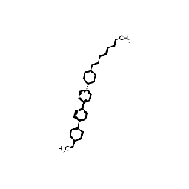 CCCCCCCC[C@H]1CC[C@H](c2ccc(-c3ccc(C4=CCC(CC)CC4)cc3)cc2)CC1